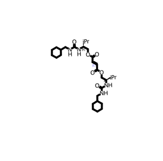 CC(C)[C@H](COC(=O)/C=C/C(=O)OC[C@H](NC(=O)NCC1CCCCC1)C(C)C)NC(=O)NCC1CCCCC1